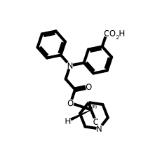 O=C(CN(c1ccccc1)c1cccc(C(=O)O)c1)O[C@H]1CN2CCC1CC2